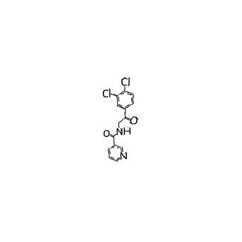 O=C(CNC(=O)c1cccnc1)c1ccc(Cl)c(Cl)c1